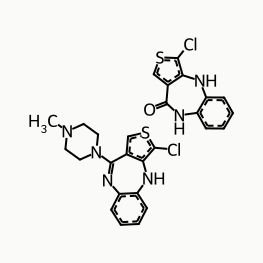 CN1CCN(C2=Nc3ccccc3Nc3c2csc3Cl)CC1.O=C1Nc2ccccc2Nc2c1csc2Cl